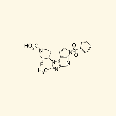 Cc1nc2cnc3c(ccn3S(=O)(=O)c3ccccc3)c2n1[C@@H]1CCN(C(=O)O)C[C@H]1F